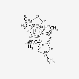 C[C@H]1CC[C@@]2(C)C(=C[C@H](C)[C@@H]3C2[C@H](C)C[C@]2(C)C(=O)CC[C@@H]32)C1